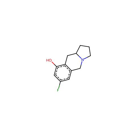 Oc1cc(F)cc2c1CC1CCCN1C2